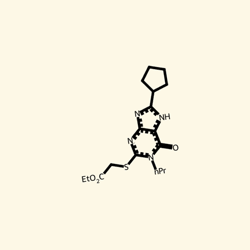 CCCn1c(SCC(=O)OCC)nc2nc(C3CCCC3)[nH]c2c1=O